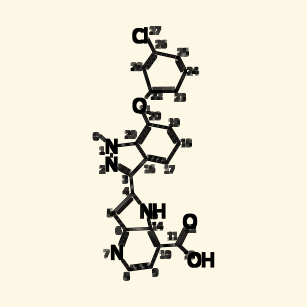 Cn1nc(-c2cc3nccc(C(=O)O)c3[nH]2)c2cccc(Oc3cccc(Cl)c3)c21